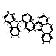 O=c1c2ccccc2ccc2cccc(-c3cccc4c(-n5c6ccccc6c6ccccc65)cccc34)c12